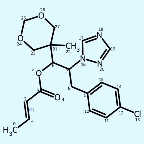 C/C=C/C(=O)OC(C(Cc1ccc(Cl)cc1)n1cncn1)C1(C)COCOC1